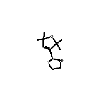 CC1(C)C=C(C2NCCO2)C(C)(C)O1